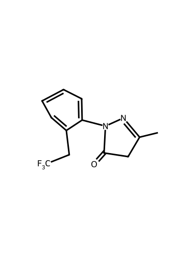 CC1=NN(c2ccccc2CC(F)(F)F)C(=O)C1